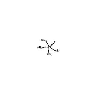 CCCCP(F)(CCCC)(CCCC)CCCC